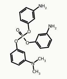 CN(C)c1cccc(OP(=O)(Oc2cccc(N)c2)Oc2cccc(N)c2)c1